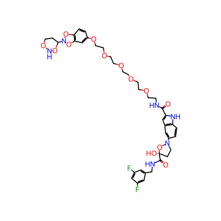 O=C(NCCOCCOCCOCCOCCOc1ccc2c(c1)ON(C1CCONO1)O2)c1cc2cc(N3CC[C@@](O)(C(=O)NCc4cc(F)cc(F)c4)O3)ccc2[nH]1